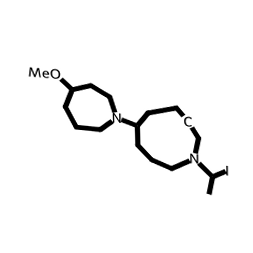 COC1CCCN(C2CCCCN(C(C)I)CCC2)CC1